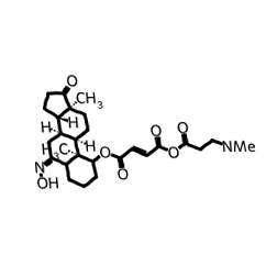 CNCCC(=O)OC(=O)/C=C/C(=O)OC1CCCC2/C(=N\O)C[C@@H]3[C@@H](CC[C@]4(C)C(=O)CC[C@@H]34)[C@@]12C